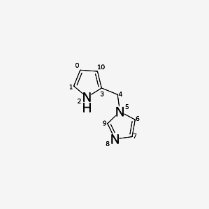 c1c[nH]c(Cn2ccnc2)c1